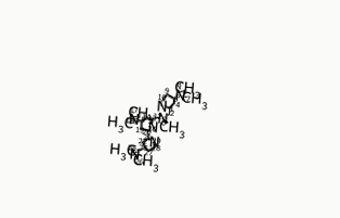 CN(Cc1cc(N(C)C)ccn1)Cc1cc(N(C)C)cc(-c2cc(N(C)C)ccn2)n1